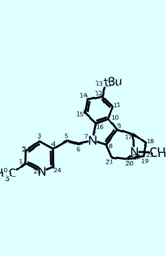 Cc1ccc(CCn2c3c(c4cc(C(C)(C)C)ccc42)C2CCC(C3)N2C)cn1